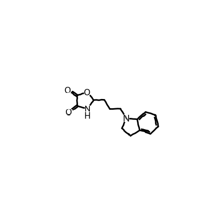 O=C1NC(CCCN2CCc3ccccc32)OC1=O